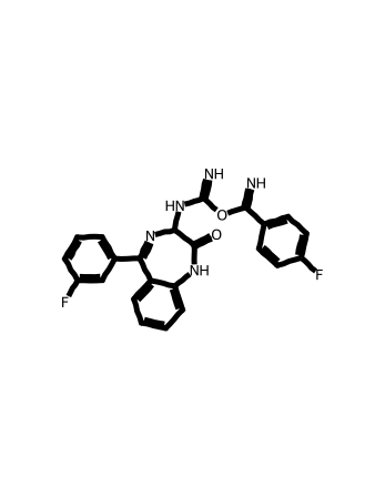 N=C(NC1N=C(c2cccc(F)c2)c2ccccc2NC1=O)OC(=N)c1ccc(F)cc1